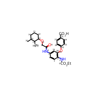 CCOC(=O)Nc1ccc(NC(=O)COC2CCCC(C)C2C(C)C)cc1Oc1ccc(C(=O)O)cc1